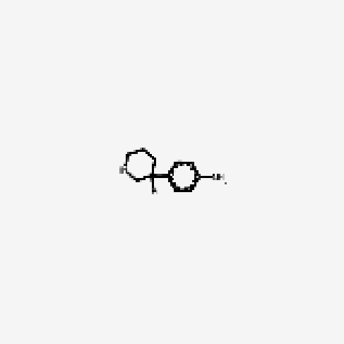 CCC1(c2ccc(N)cc2)CCCNC1